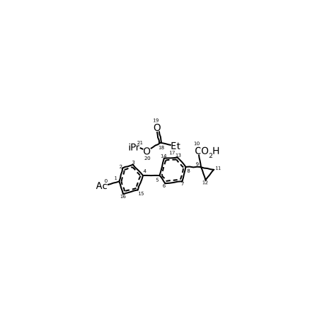 CC(=O)c1ccc(-c2ccc(C3(C(=O)O)CC3)cc2)cc1.CCC(=O)OC(C)C